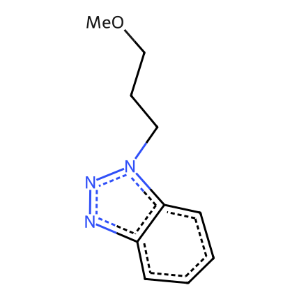 COCCCn1nnc2ccccc21